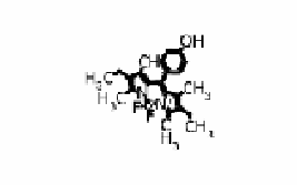 CCC1=C(C)C2=C(c3ccc(O)cc3)c3c(C)c(CC)c(C)n3[B-](F)(F)[N+]2=C1C